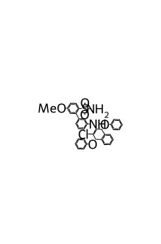 COc1ccc(S(N)(=O)=O)c(-c2cccc(NC3=C(Cl)C(Oc4ccccc4)c4ccccc4C3Oc3ccccc3)c2)c1